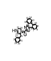 O=C(c1nnc(-c2ccccc2-c2ccccc2)o1)N1CCNCC1Cc1ccccc1